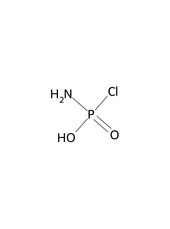 NP(=O)(O)Cl